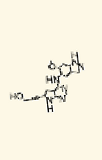 COc1cc2[nH]ncc2cc1Nc1ncnc2[nH]c(C#CCO)cc12